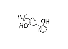 Cc1ccc(-c2ncccc2O)cc1O